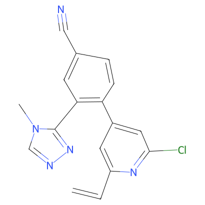 C=Cc1cc(-c2ccc(C#N)cc2-c2nncn2C)cc(Cl)n1